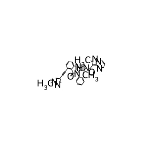 Cc1nn2cccnc2c1C(=O)NC(C)c1nc2cccc(C#Cc3cnn(C)c3)c2c(=O)n1-c1ccccc1